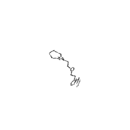 CCCOCCN1CCCC1